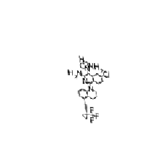 CN(N)c1c(N)nc(N2CCCc3c(C#CC4(C(F)(F)F)CC4)cccc32)c2ccc(Cl)cc12